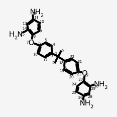 CC(C)(c1ccc(Oc2ccc(N)cc2N)cc1)c1ccc(Oc2ccc(N)cc2N)cc1